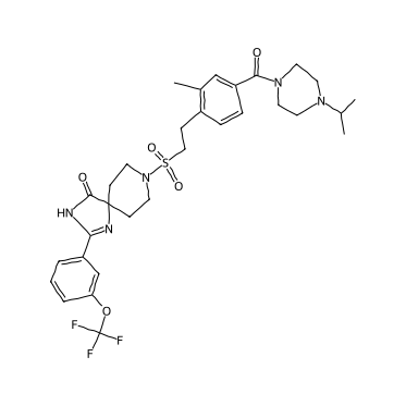 Cc1cc(C(=O)N2CCN(C(C)C)CC2)ccc1CCS(=O)(=O)N1CCC2(CC1)N=C(c1cccc(OC(F)(F)F)c1)NC2=O